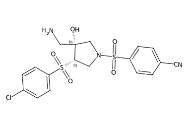 N#Cc1ccc(S(=O)(=O)N2C[C@H](S(=O)(=O)c3ccc(Cl)cc3)[C@@](O)(CN)C2)cc1